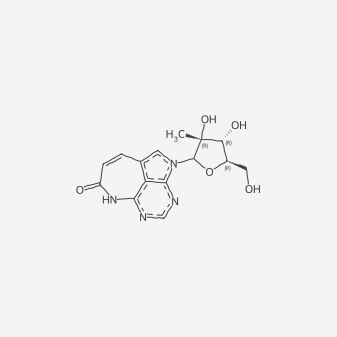 C[C@]1(O)C(n2cc3c4c(ncnc42)NC(=O)C=C3)O[C@H](CO)[C@H]1O